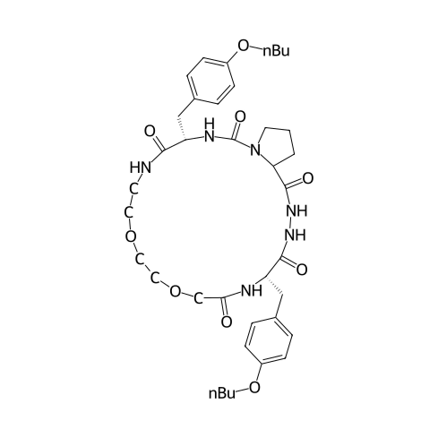 CCCCOc1ccc(C[C@@H]2NC(=O)COCCOCCNC(=O)[C@H](Cc3ccc(OCCCC)cc3)NC(=O)N3CCCC3C(=O)NNC2=O)cc1